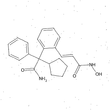 NC(=O)C(c1ccccc1)(c1ccccc1/C=C/C(=O)NO)C1CCCC1